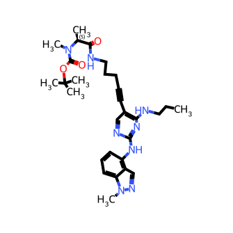 CCCNc1nc(Nc2cccc3c2cnn3C)ncc1C#CCCCNC(=O)[C@H](C)N(C)C(=O)OC(C)(C)C